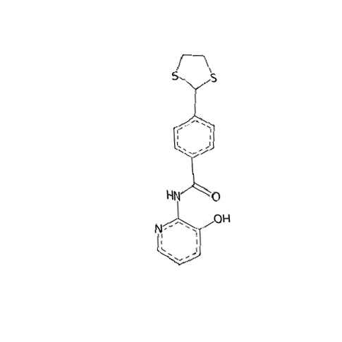 O=C(Nc1ncccc1O)c1ccc(C2SCCS2)cc1